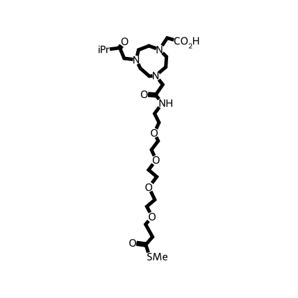 CSC(=O)CCOCCOCCOCCOCCNC(=O)CN1CCN(CC(=O)O)CCN(CC(=O)C(C)C)CC1